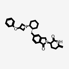 C=C1CCC(N2Cc3cc(C[C@H]4CCCC[C@@H]4N4CC(Oc5ccccc5)C4)ccc3C2=O)C(=O)N1